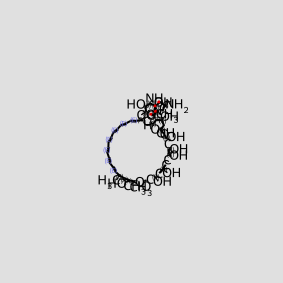 C[C@@H]1[C@H](O)[C@@H](C)/C=C/C=C/C=C/C=C/C=C/C=C/C=C/[C@H](O[C@@H]2O[C@H](C)[C@@H](O)[C@H](N)[C@@H]2O)C[C@@H]2O[C@](O)(C[C@@H](O)C[C@@H](O)[C@H](O)CC[C@@H](O)C[C@@H](O)CC(=O)O[C@H]1C)C[C@H](O)[C@H]2C(=O)N1CC[C@@H](N)C1